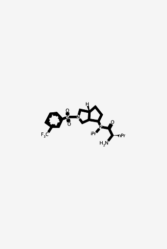 CCC[C@H](N)C(=O)N(C(C)C)C1CC[C@H]2CN(S(=O)(=O)c3cccc(C(F)(F)F)c3)CC12